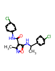 Cc1noc(NC(C)c2ccc(Cl)cc2)c1C(=O)Nc1ccc(Cl)cc1